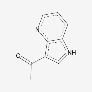 CC(=O)c1c[nH]c2cccnc12